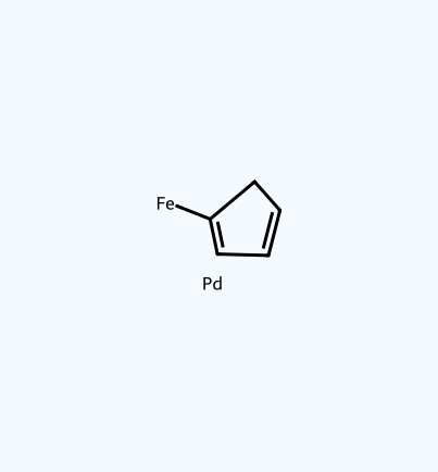 [Fe][C]1=CC=CC1.[Pd]